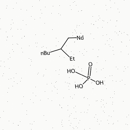 CCCCC(CC)[CH2][Nd].O=P(O)(O)O